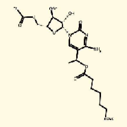 CCCCCCCCCCCCCCCC(=O)OC(C)c1cn([C@@H]2O[C@H](COC(=O)CC)[C@@H](OC(C)=O)[C@@H]2O)c(=O)nc1N